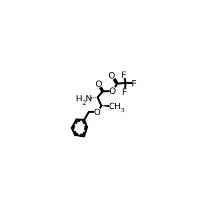 C[C@@H](OCc1ccccc1)[C@H](N)C(=O)OC(=O)C(F)(F)F